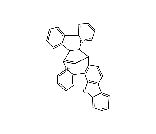 C1=C2C3c4ccccc4-c4cccc[n+]4C3C1c1ccc3c(oc4ccccc43)c1-c1cccc[n+]12